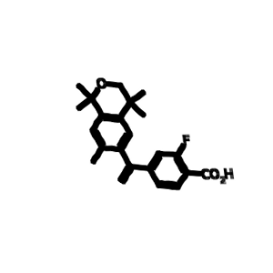 C=C(c1ccc(C(=O)O)c(F)c1)c1cc2c(cc1C)C(C)(C)OCC2(C)C